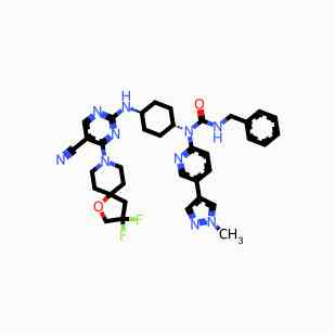 Cn1cc(-c2ccc(N(C(=O)NCc3ccccc3)[C@H]3CC[C@H](Nc4ncc(C#N)c(N5CCC6(CC5)CC(F)(F)CO6)n4)CC3)nc2)cn1